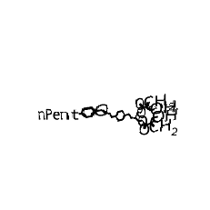 C=C(CO)C(=O)OCC(CCC1CCC(CCCOc2ccc(CCCCC)cc2)CC1)COC(=O)C(=C)CO